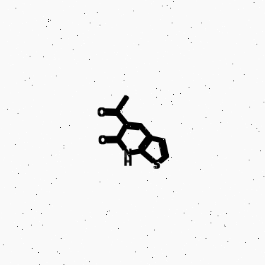 CC(=O)c1cc2ccsc2[nH]c1=O